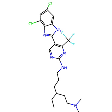 CCC(CCCNc1ncc(-c2nc3c(Cl)cc(Cl)cc3[nH]2)c(C(F)(F)F)n1)CCN(C)C